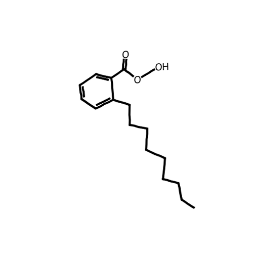 CCCCCCCCCc1ccccc1C(=O)OO